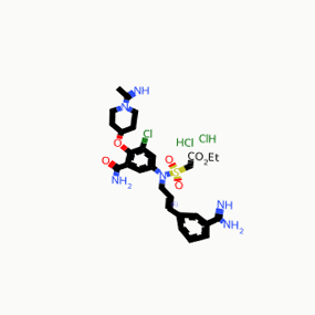 CCOC(=O)CS(=O)(=O)N(C/C=C/c1cccc(C(=N)N)c1)c1cc(Cl)c(OC2CCN(C(C)=N)CC2)c(C(N)=O)c1.Cl.Cl